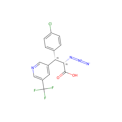 [N-]=[N+]=N[C@H](C(=O)O)[C@@H](c1ccc(Cl)cc1)c1cncc(C(F)(F)F)c1